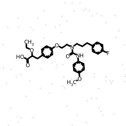 CCOC(Cc1ccc(OCCN(CCCc2ccc(F)cc2)C(=O)Nc2ccc(OC)cc2)cc1)C(=O)O